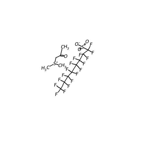 CC(=O)C[S+](C)C.O=S(=O)([O-])C(F)(F)C(F)(F)C(F)(F)C(F)(F)C(F)(F)C(F)(F)C(F)(F)C(F)(F)F